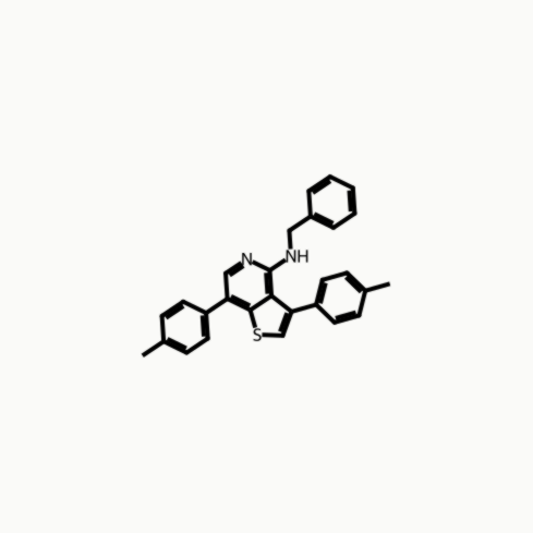 Cc1ccc(-c2cnc(NCc3ccccc3)c3c(-c4ccc(C)cc4)csc23)cc1